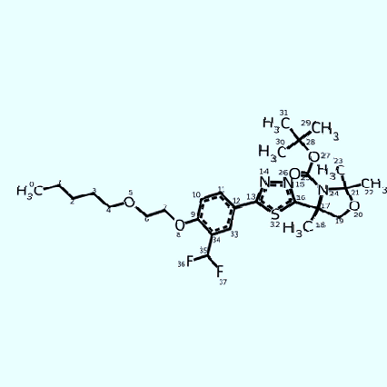 CCCCCOCCOc1ccc(-c2nnc(C3(C)COC(C)(C)N3C(=O)OC(C)(C)C)s2)cc1C(F)F